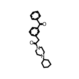 O=C(c1ccccc1)c1cccc(CC(=O)N2CCN(C3CCCCC3)CC2)c1